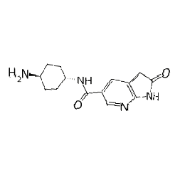 N[C@H]1CC[C@H](NC(=O)c2cnc3c(c2)CC(=O)N3)CC1